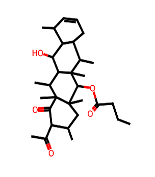 CCCC(=O)OC1C2(C)C(C)C3CC=CC(C)C3C(O)C2C(C)C2(C)C(=O)C(C(C)=O)C(C)CC12C